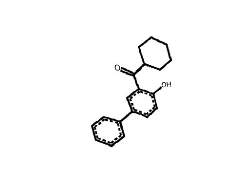 O=C(c1cc(-c2ccccc2)ccc1O)C1CCCCC1